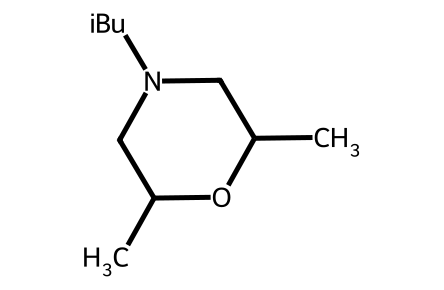 CCC(C)N1CC(C)OC(C)C1